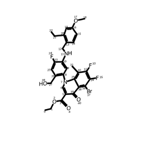 CCOC(=O)c1cn(-c2cc(NCc3ccc(OC)cc3CC)c(F)cc2CO)c2c(C)c(F)c(F)c(Br)c2c1=O